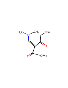 COC(=O)C(=CN(C)C)C(=O)CC(C)(C)C